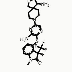 CN1C(=O)C(F)(C(F)(F)F)c2c(Sc3ncc(N4CCC5(CC4)COCC5N)nc3N)cccc21